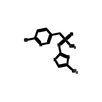 CS(=O)(Cc1ccc(Cl)nc1)=Nc1nc(C(F)(F)F)cs1